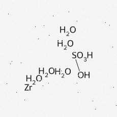 O.O.O.O.O.O=S(=O)(O)O.[Zr]